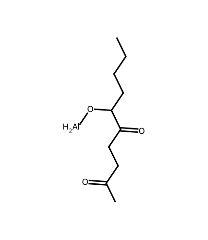 CCCCC([O][AlH2])C(=O)CCC(C)=O